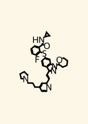 O=C(NC1CC1)c1cccc(F)c1Sc1ccc2c(/C=C/c3cc(CCCN4CCCC4)ccn3)nn(C3CCCCO3)c2c1